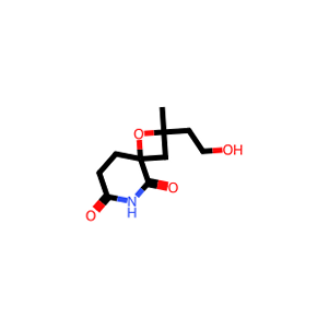 CC1(CCO)CC2(CCC(=O)NC2=O)O1